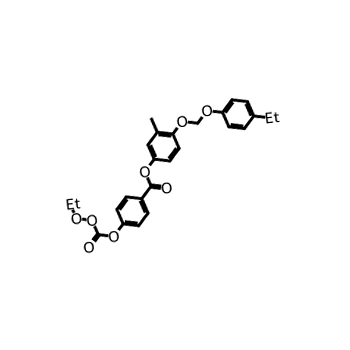 CCOOC(=O)Oc1ccc(C(=O)Oc2ccc(OCOc3ccc(CC)cc3)c(C)c2)cc1